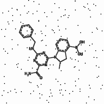 CC1Cc2c(B(O)O)cccc2N1c1nc(NCc2ccccc2)nc(C(N)=O)n1